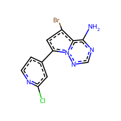 Nc1ncnn2c(-c3ccnc(Cl)c3)cc(Br)c12